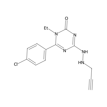 C#CCNNc1nc(-c2ccc(Cl)cc2)n(CC)c(=O)n1